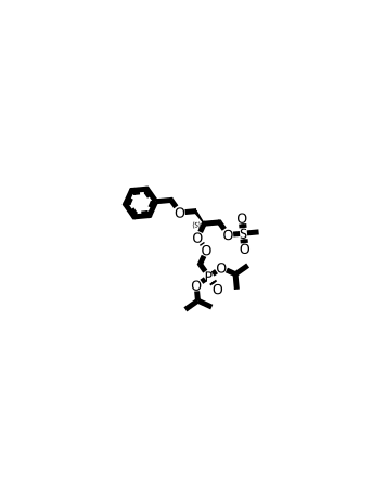 CC(C)OP(=O)(COO[C@@H](COCc1ccccc1)COS(C)(=O)=O)OC(C)C